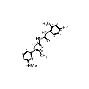 CNc1nccc(-c2sc(NC(=O)Nc3ccc(F)cc3C)nc2C)n1